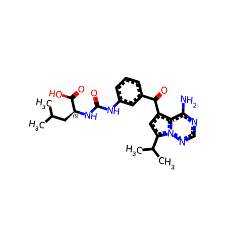 CC(C)C[C@H](NC(=O)Nc1cccc(C(=O)c2cc(C(C)C)n3ncnc(N)c23)c1)C(=O)O